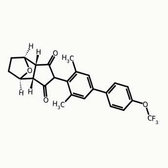 Cc1cc(-c2ccc(OC(F)(F)F)cc2)cc(C)c1C1C(=O)[C@@H]2[C@H](C1=O)[C@H]1CC[C@@H]2O1